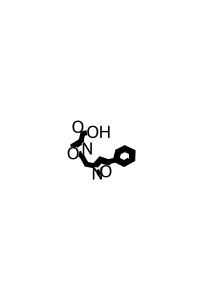 O=C(O)c1coc(Cc2cc(-c3ccccc3)on2)n1